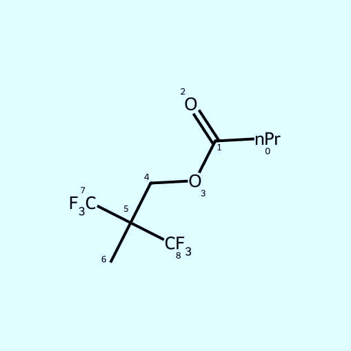 CCCC(=O)OCC(C)(C(F)(F)F)C(F)(F)F